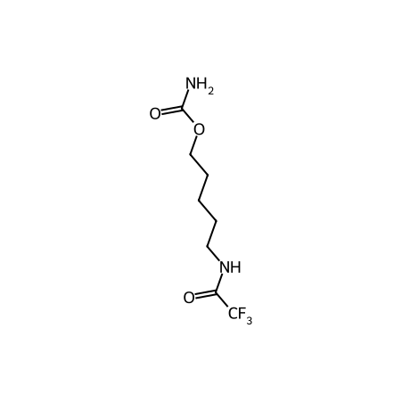 NC(=O)OCCCCCNC(=O)C(F)(F)F